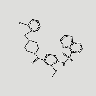 COc1cc(C(=O)N2CCN(Cc3ccncc3Cl)CC2)ccc1NS(=O)(=O)c1cccc2cccnc12